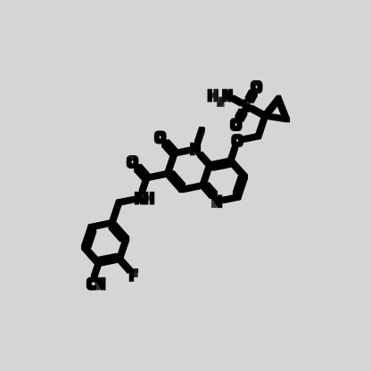 Cn1c(=O)c(C(=O)NCc2ccc(C#N)c(F)c2)cc2nccc(OCC3(S(N)(=O)=O)CC3)c21